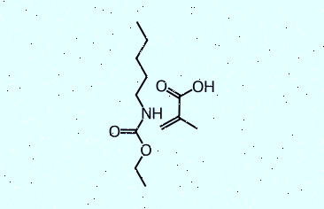 C=C(C)C(=O)O.CCCCCNC(=O)OCC